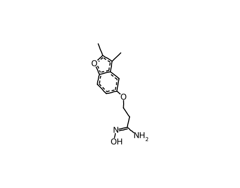 Cc1oc2ccc(OCCC(N)=NO)cc2c1C